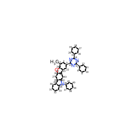 Cc1cc(-c2nc(-c3ccccc3)nc(-c3ccccc3)n2)cc2c1oc1cc3c4ccccc4n(-c4ccccc4)c3cc12